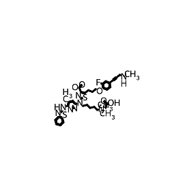 CNCC#Cc1ccc(OCCCc2sc(N(CCCCC[N+](C)(C)CC(=O)O)c3cc(C)c(Nc4nc5ccccc5s4)nn3)nc2C(=O)[O-])c(F)c1